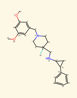 COc1cc(CN2CCC(F)(CNC3CC3c3ccccc3)CC2)cc(OC)c1